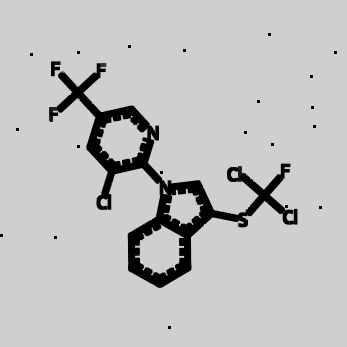 FC(Cl)(Cl)Sc1cn(-c2ncc(C(F)(F)F)cc2Cl)c2ccccc12